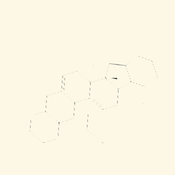 C[C@]12CC=C3[C@@H](CC=C4CC5OCCOC5C[C@@]43CCS)[C@@H]1CC1OCCOC12